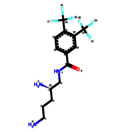 NCCC[C@H](N)CNC(=O)c1ccc(C(F)(F)F)c(C(F)(F)F)c1